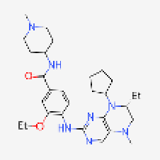 CCOc1cc(C(=O)NC2CCN(C)CC2)ccc1Nc1ncc2c(n1)N(C1CCCC1)[C@H](CC)CN2C